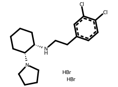 Br.Br.Clc1ccc(CCN[C@H]2CCCC[C@H]2N2CCCC2)cc1Cl